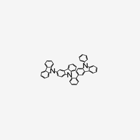 c1ccc(-n2c3ccccc3c3cc(-c4ccccc4-n4c5ccccc5c5cc(-n6c7ccccc7c7ccccc76)ccc54)ccc32)cc1